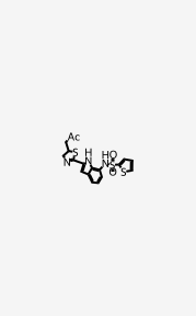 CC(=O)CC1CN=C(c2cc3cccc(NS(=O)(=O)c4cccs4)c3[nH]2)S1